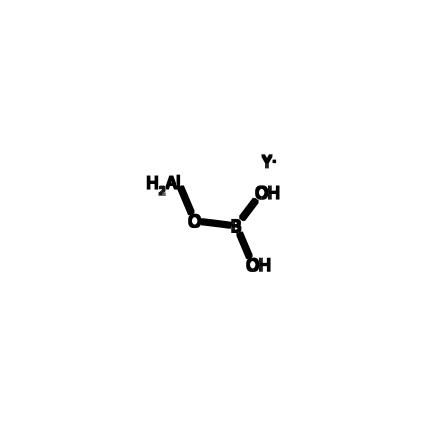 OB(O)[O][AlH2].[Y]